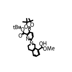 COC(O)c1cccc2c1CN(c1ccc(B3OC(C)(C)C(C)(C)O3)c(C(=O)OC(C)(C)C)n1)CC2